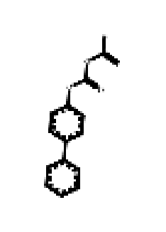 C=C(C)OC(=O)Oc1ccc(-c2ccccc2)cc1